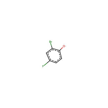 [O]c1ccc(F)cc1Br